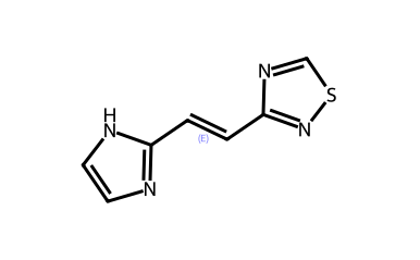 C(=C\c1ncc[nH]1)/c1ncsn1